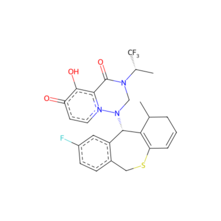 CC1CC=CC2=C1[C@@H](N1CN([C@@H](C)C(F)(F)F)C(=O)c3c(O)c(=O)ccn31)c1cc(F)ccc1CS2